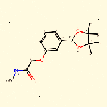 CCCNC(=O)COc1cccc(B2OC(C)(C)C(C)(C)O2)c1